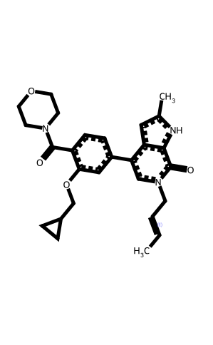 C/C=C/Cn1cc(-c2ccc(C(=O)N3CCOCC3)c(OCC3CC3)c2)c2cc(C)[nH]c2c1=O